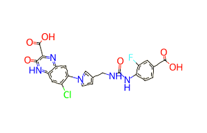 O=C(NCc1ccn(-c2cc3nc(C(=O)O)c(=O)[nH]c3cc2Cl)c1)Nc1ccc(C(=O)O)cc1F